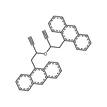 C#CC(Cc1c2ccccc2cc2ccccc12)OC(C#C)Cc1c2ccccc2cc2ccccc12